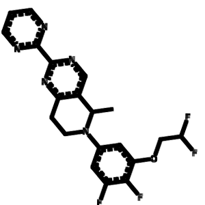 CC1c2cnc(-c3ncccn3)nc2CCN1c1cc(F)c(F)c(OCC(F)F)c1